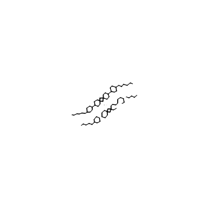 CCCCCC1CCC([C@H]2CCC3(CC2)C(=O)C2(CC[C@H]([C@H]4CC[C@H](CCCCC)CC4)CC2)C3=O)CC1.CCCCCCC1CCC(C2CCC3(CC2)C(=O)C2(CCC(C4CCC(CCCCCC)CC4)CC2)C3=O)CC1